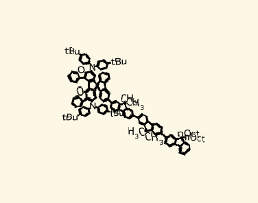 CCCCCCCCC1(CCCCCCCC)c2ccccc2-c2ccc(-c3ccc4c(c3)C(C)(C)c3cc(-c5ccc6c(c5)C(C)(C)c5cc(-c7ccc8c(c7)-c7ccccc7C87c8cc(N(c9ccc(C(C)(C)C)cc9)c9ccc(C(C)(C)C)cc9)c9c(oc%10ccccc%109)c8-c8c7cc(N(c7ccc(C(C)(C)C)cc7)c7ccc(C(C)(C)C)cc7)c7oc9ccccc9c87)ccc5-6)ccc3-4)cc21